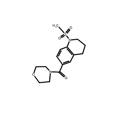 CS(=O)(=O)N1CCCc2cc(C(=O)N3CCOCC3)ccc21